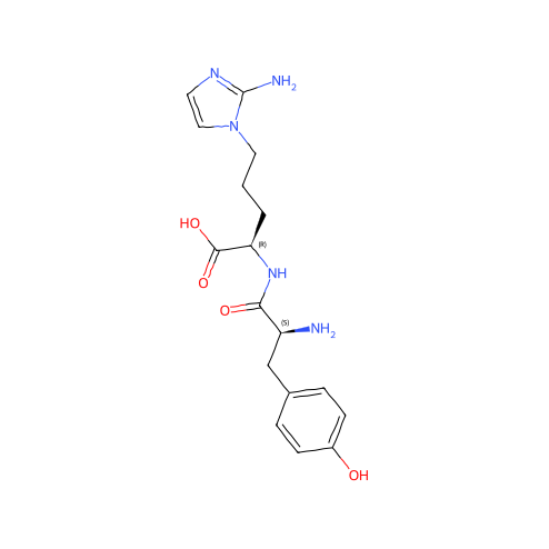 Nc1nccn1CCC[C@@H](NC(=O)[C@@H](N)Cc1ccc(O)cc1)C(=O)O